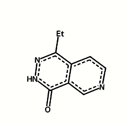 CCc1n[nH]c(=O)c2cnccc12